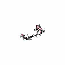 O=C1CCC(N2Cc3c(NC(=O)CNCCOCCOCCNC(=O)c4ccc(Nc5ncc6c(n5)-c5ccc(Cl)cc5C(c5c(F)cccc5F)=NC6)cc4)cccc3C2=O)C(=O)N1